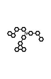 c1ccc(-c2cccc(-c3ccc(N(c4ccc(-c5ccc6c7ccccc7c7ccccc7c6c5)cc4)c4cccc(-c5cccc(-c6cccc7ccccc67)c5)c4)cc3)c2)cc1